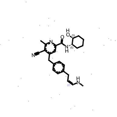 CN/C=C\Cc1ccc(Cc2cc(C(=O)N[C@H]3CCCC[C@@H]3O)nc(C)c2C#N)cc1